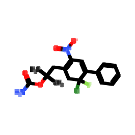 CC(C)(CC1=C([N+](=O)[O-])C=C(c2ccccc2)C(F)(Cl)C1)OC(N)=O